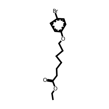 CCOC(=O)CCCCCCOc1ccc(Br)cc1